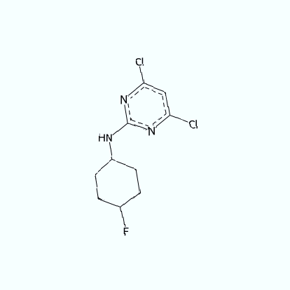 FC1CCC(Nc2nc(Cl)cc(Cl)n2)CC1